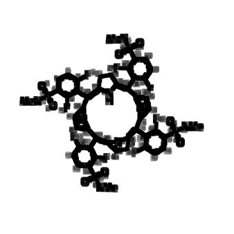 CNS(=O)(=O)c1ccc(F)c(/C2=C3\CC/C(=C(\c4c(F)ccc(S(=O)(=O)NC)c4F)c4ccc([nH]4)/C(c4c(F)ccc(S(=O)(=O)NC)c4F)=C4/CC/C(=C(\c5c(F)ccc(S(=O)(=O)NC)c5F)c5ccc2[nH]5)N4)N3)c1F